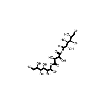 O=C(OC(O)[C@@H](O)[C@@H](O)[C@H](O)[C@H](O)CO)C(O)C(O)C(=O)OC(O)[C@@H](O)[C@@H](O)[C@H](O)[C@H](O)CO